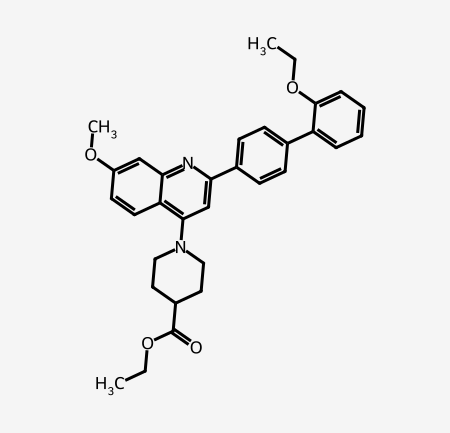 CCOC(=O)C1CCN(c2cc(-c3ccc(-c4ccccc4OCC)cc3)nc3cc(OC)ccc23)CC1